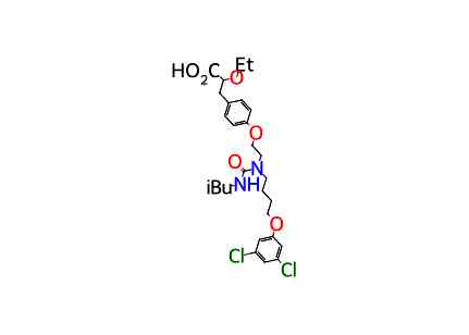 CCOC(Cc1ccc(OCCN(CCCCOc2cc(Cl)cc(Cl)c2)C(=O)NC(C)CC)cc1)C(=O)O